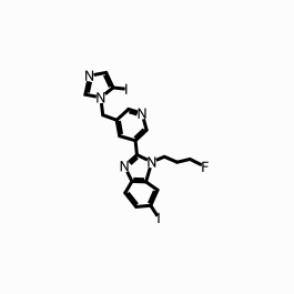 FCCCn1c(-c2cncc(Cn3cncc3I)c2)nc2ccc(I)cc21